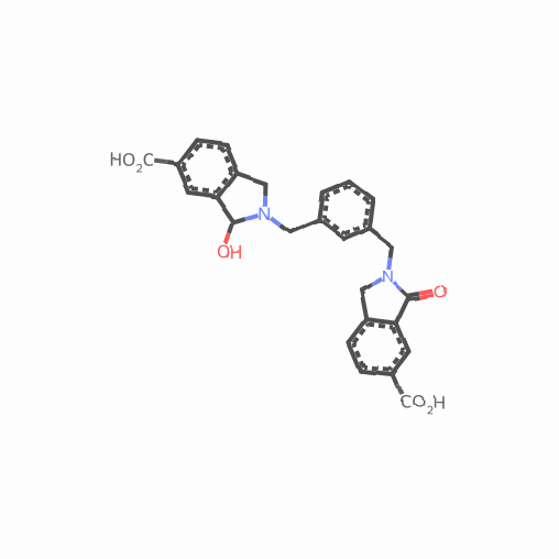 O=C(O)c1ccc2c(c1)C(=O)N(Cc1cccc(CN3Cc4ccc(C(=O)O)cc4C3O)c1)C2